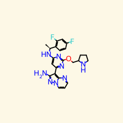 C[C@H](Nc1cc(-c2c(N)nn3cccnc23)nc(OCC2CCCN2)n1)c1ccc(F)cc1F